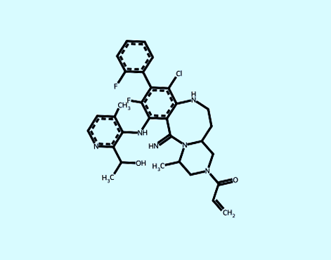 C=CC(=O)N1CC(C)N2C(=N)c3c(Nc4c(C)ccnc4C(C)O)c(F)c(-c4ccccc4F)c(Cl)c3NCCC2C1